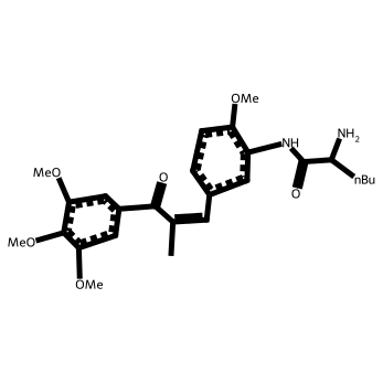 CCCCC(N)C(=O)Nc1cc(C=C(C)C(=O)c2cc(OC)c(OC)c(OC)c2)ccc1OC